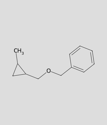 CC1CC1COCc1ccccc1